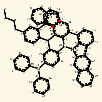 CCCCc1ccc(C2c3cc(N(c4ccccc4)c4ccccc4)ccc3B3c4c(cc5oc6ccccc6c5c42)-c2cccc4c5cc6ccccc6cc5n3c24)c(-c2ccccc2)c1